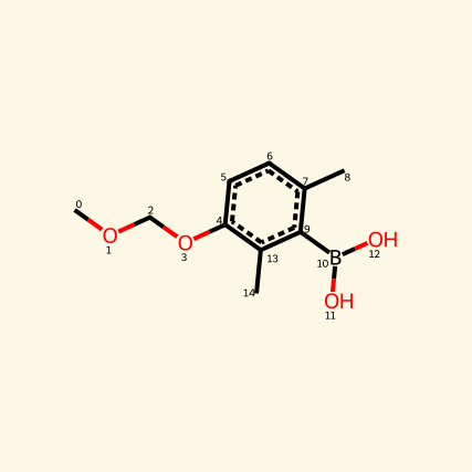 COCOc1ccc(C)c(B(O)O)c1C